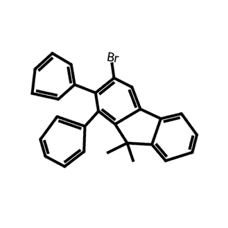 CC1(C)c2ccccc2-c2cc(Br)c(-c3ccccc3)c(-c3ccccc3)c21